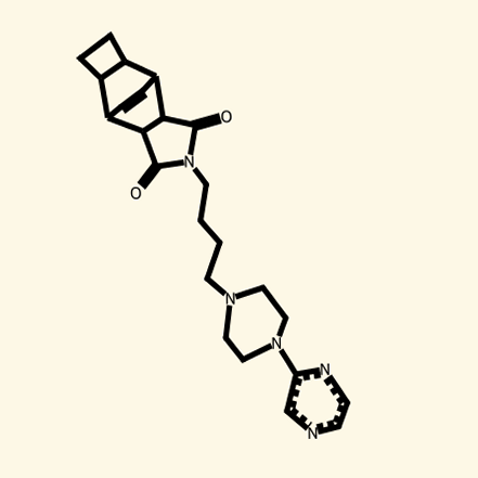 O=C1C2C3C=CC(C4CCC34)C2C(=O)N1CCCCN1CCN(c2cnccn2)CC1